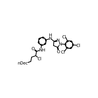 CCCCCCCCCCCCC(Cl)C(=O)Nc1cccc(NC2=NN(c3c(Cl)cc(Cl)cc3Cl)C(=O)C2)c1